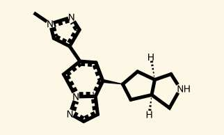 Cn1cc(-c2cc([C@H]3C[C@H]4CNC[C@H]4C3)c3ccnn3c2)cn1